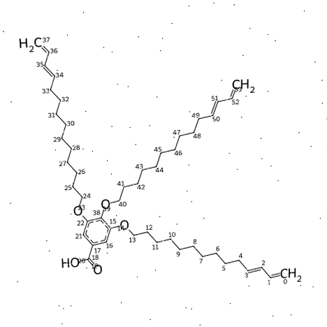 C=CC=CCCCCCCCCCCOc1cc(C(=O)O)cc(OCCCCCCCCCCC=CC=C)c1OCCCCCCCCCCC=CC=C